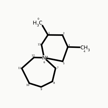 CC1CC(C)C[N+]2(CCCCCC2)C1